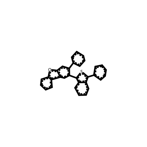 c1ccc(-c2cc3oc4ccccc4c3cc2-c2sc(-c3ccccc3)c3ccccc23)cc1